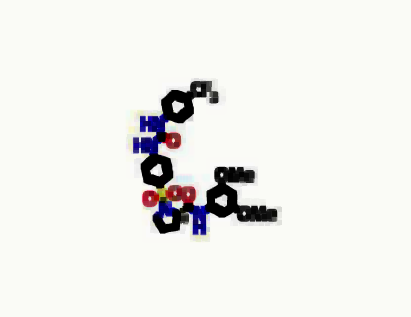 COc1cc(NC(=O)[C@@H]2CCCN2S(=O)(=O)c2ccc(NC(=O)Nc3ccc(C(F)(F)F)cc3)cc2)cc(OC)c1